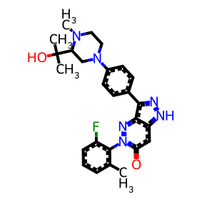 Cc1cccc(F)c1-n1nc2c(-c3ccc(N4CCN(C)C(C(C)(C)O)C4)cc3)n[nH]c2cc1=O